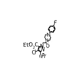 CCCc1nn(CC(=O)N2CCN(c3ccc(F)cc3)CC2)c(C(=O)OCC)c1Cl